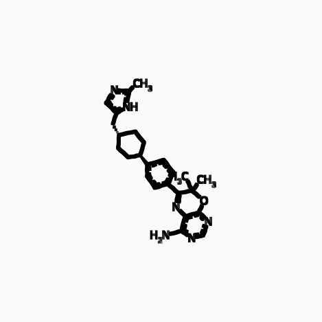 Cc1ncc(C[C@H]2CC[C@H](c3ccc(C4=Nc5c(N)ncnc5OC4(C)C)cc3)CC2)[nH]1